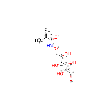 C=C(C)C(=O)NOC[C@@H](O)[C@@H](O)[C@H](O)[C@@H](O)C=O